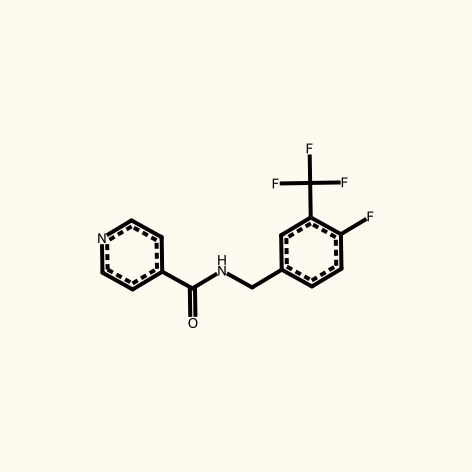 O=C(NCc1ccc(F)c(C(F)(F)F)c1)c1ccncc1